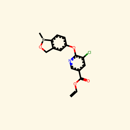 C=COC(=O)c1cnc(Oc2ccc3c(c2)COB3C)c(Cl)c1